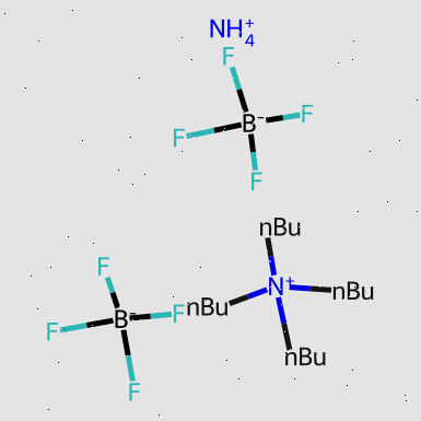 CCCC[N+](CCCC)(CCCC)CCCC.F[B-](F)(F)F.F[B-](F)(F)F.[NH4+]